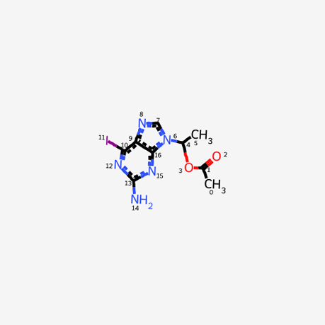 CC(=O)OC(C)n1cnc2c(I)nc(N)nc21